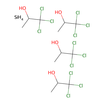 CC(O)C(Cl)(Cl)Cl.CC(O)C(Cl)(Cl)Cl.CC(O)C(Cl)(Cl)Cl.CC(O)C(Cl)(Cl)Cl.[SiH4]